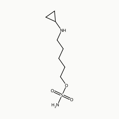 NS(=O)(=O)OCCCCCNC1CC1